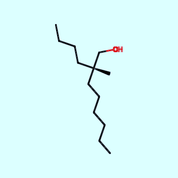 CCCCCC[C@@](C)(CO)CCCC